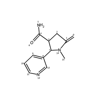 C=C1CC(C(N)=O)C(c2cccnc2)N1C